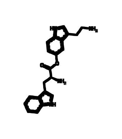 NCCc1c[nH]c2ccc(OC(=O)[C@@H](N)Cc3c[nH]c4ccccc34)cc12